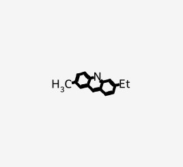 CCc1ccc2cc3cc(C)ccc3nc2c1